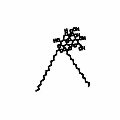 CCCCCCCCCCCCCCCCCC(=O)OC1C(O)C(CO)OC(OC2OC(CO)C(O)C(O)C2OSOOO)C1OC(=O)CCCCCCCCCCCCCCC